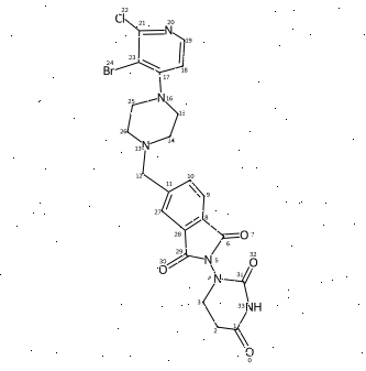 O=C1CCN(N2C(=O)c3ccc(CN4CCN(c5ccnc(Cl)c5Br)CC4)cc3C2=O)C(=O)N1